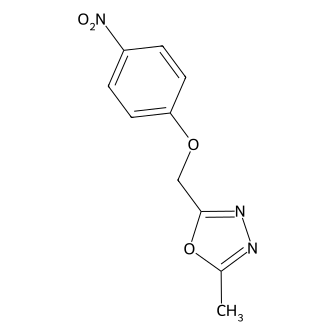 Cc1nnc(COc2ccc([N+](=O)[O-])cc2)o1